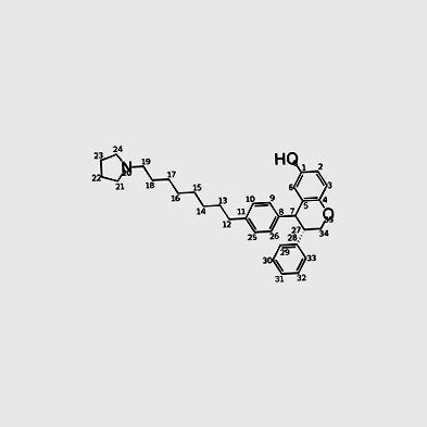 Oc1ccc2c(c1)C(c1ccc(CCCCCCCCN3CCCC3)cc1)[C@@H](c1ccccc1)CO2